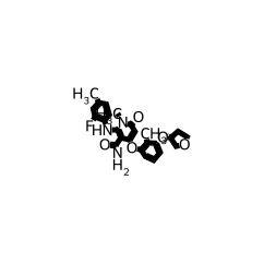 Cc1ccc(Nc2c(C(N)=O)c(Oc3cccc(O[C@@H]4CCOC4)c3C)cc(=O)n2C)c(F)c1